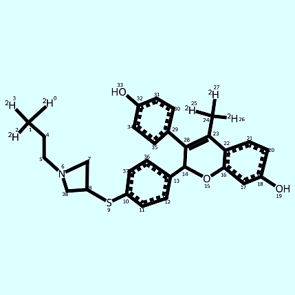 [2H]C([2H])([2H])CCN1CC(Sc2ccc(C3Oc4cc(O)ccc4C(C([2H])([2H])[2H])=C3c3ccc(O)cc3)cc2)C1